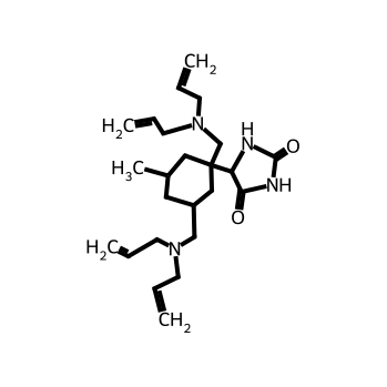 C=CCN(CC=C)CC1CC(C)CC(CN(CC=C)CC=C)(C2NC(=O)NC2=O)C1